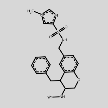 CCCNC1COc2ccc(CNS(=O)(=O)c3cn(C)cn3)cc2C1Cc1ccccc1